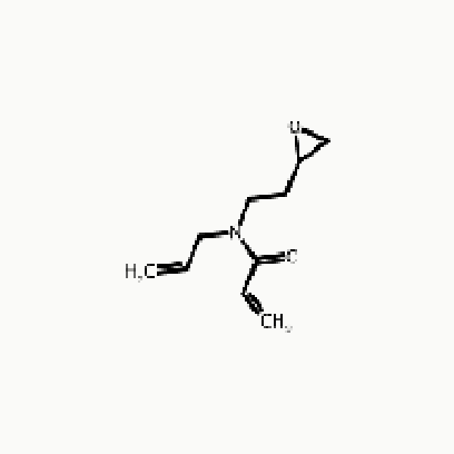 C=CCN(CCC1CO1)C(=O)C=C